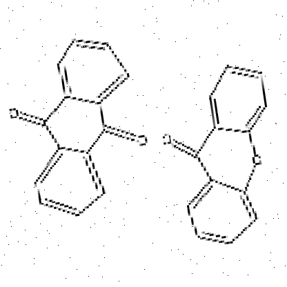 O=C1c2ccccc2C(=O)c2ccccc21.O=c1c2ccccc2oc2ccccc12